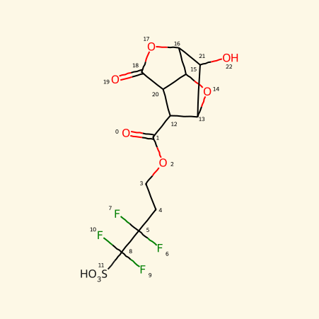 O=C(OCCC(F)(F)C(F)(F)S(=O)(=O)O)C1C2OC3C(OC(=O)C31)C2O